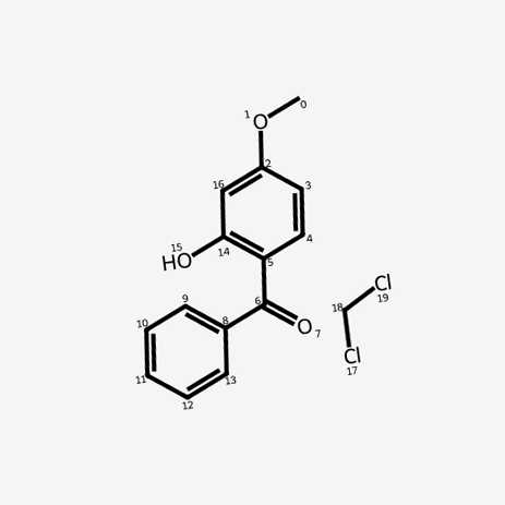 COc1ccc(C(=O)c2ccccc2)c(O)c1.ClCCl